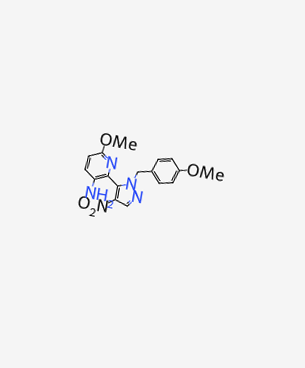 COc1ccc(Cn2ncc([N+](=O)[O-])c2-c2nc(OC)ccc2N)cc1